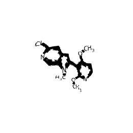 COc1ccnc(OC)c1-c1cc2cc(Cl)ncc2n1C